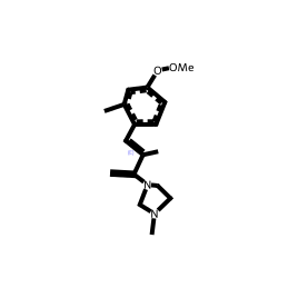 C=C(/C(C)=C/c1ccc(OOC)cc1C)N1CCN(C)C1